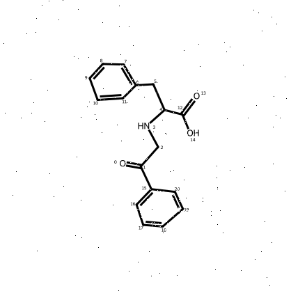 O=C(CNC(Cc1ccccc1)C(=O)O)c1ccccc1